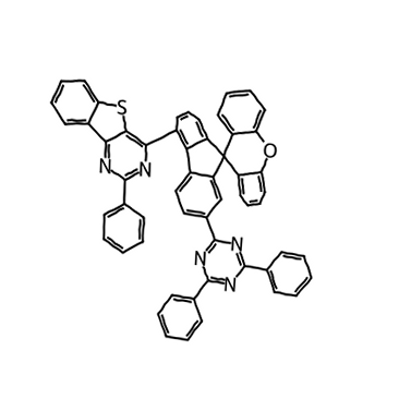 c1ccc(-c2nc(-c3ccccc3)nc(-c3ccc4c(c3)C3(c5ccccc5Oc5ccccc53)c3cccc(-c5nc(-c6ccccc6)nc6c5sc5ccccc56)c3-4)n2)cc1